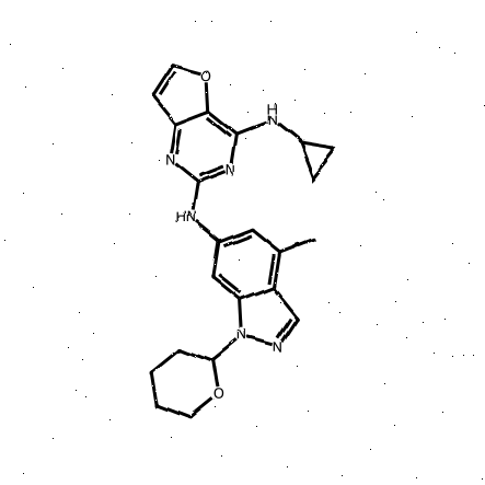 Cc1cc(Nc2nc(NC3CC3)c3occc3n2)cc2c1cnn2C1CCCCO1